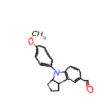 COc1ccc(N2c3ccc(C=O)cc3C3CCCC32)cc1